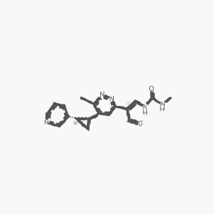 CNC(=O)N/C=C(\C=O)c1cc(C2C[C@@H]2c2cccnc2)c(C)nn1